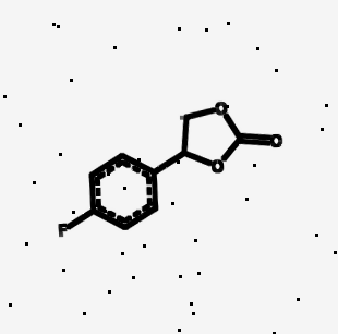 O=C1O[CH]C(c2ccc(F)cc2)O1